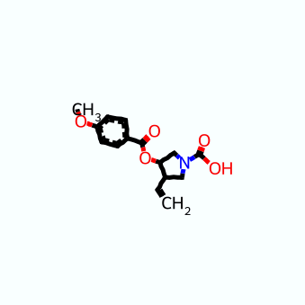 C=CC1CN(C(=O)O)CC1OC(=O)c1ccc(OC)cc1